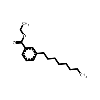 CCCCCCCCc1[c]ccc(C(=O)OCC)c1